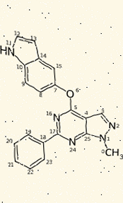 Cn1ncc2c(Oc3ccc4[nH]ccc4c3)nc(-c3ccccc3)nc21